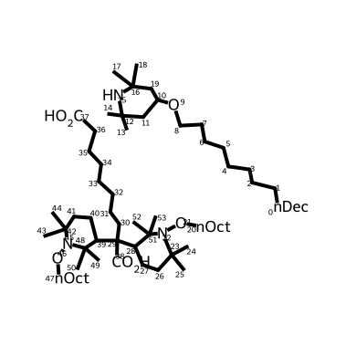 CCCCCCCCCCCCCCCCCCOC1CC(C)(C)NC(C)(C)C1.CCCCCCCCON1C(C)(C)CCC(C(CCCCCCCC(=O)O)(C(=O)O)C2CCC(C)(C)N(OCCCCCCCC)C2(C)C)C1(C)C